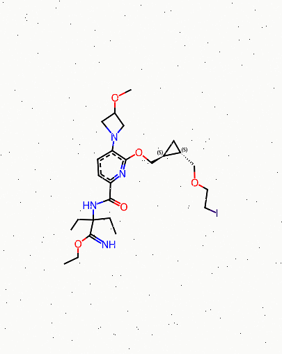 CCOC(=N)C(CC)(CC)NC(=O)c1ccc(N2CC(OC)C2)c(OC[C@H]2C[C@@H]2COCCI)n1